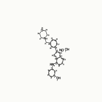 Cl.Cl.Oc1cccc(Nc2ccnc3cc(-c4cccc(CN5CCOCC5)c4)sc23)c1